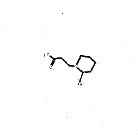 O=C(O)CCN1CCCCC1O